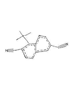 CC(C)(C)c1c(C#N)ccc2cc(C#N)ccc12